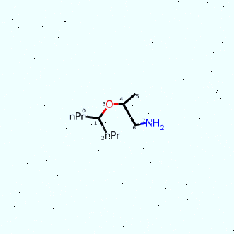 CCCC(CCC)OC(C)CN